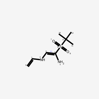 C=CN/C=C(\N)S(=O)(=O)C(C)(C)C